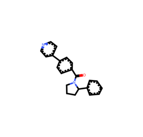 O=C(c1ccc(-c2ccncc2)cc1)N1CCCC1c1ccccc1